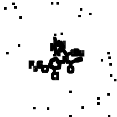 C#CC(=O)N(c1ccc(OC(F)(F)F)c(Cl)c1)C(c1nnn(C)n1)C(C)(C)C